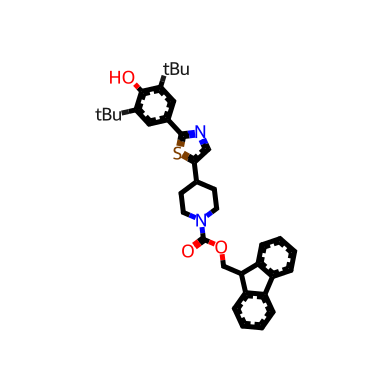 CC(C)(C)c1cc(-c2ncc(C3CCN(C(=O)OCC4c5ccccc5-c5ccccc54)CC3)s2)cc(C(C)(C)C)c1O